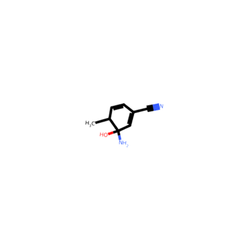 CC1C=CC(C#N)=CC1(N)O